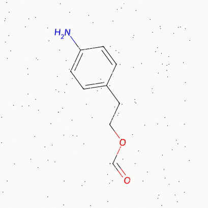 Nc1ccc(CCO[C]=O)cc1